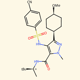 CO[C@H]1CC[C@@H](c2nn(C)c(C(=O)N[C@@H](C)C(C)(C)C)c2NS(=O)(=O)c2ccc(C#N)cc2)CC1